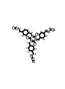 O=C=NCC1CCC(Cn2c(=O)n(CC3CCC(CN=C=O)CC3)c(=O)n(CC3CCC(CN=S=O)CC3)c2=O)CC1